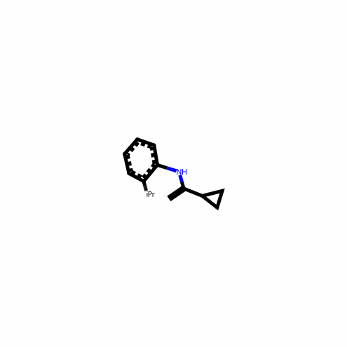 C=C(Nc1ccccc1C(C)C)C1CC1